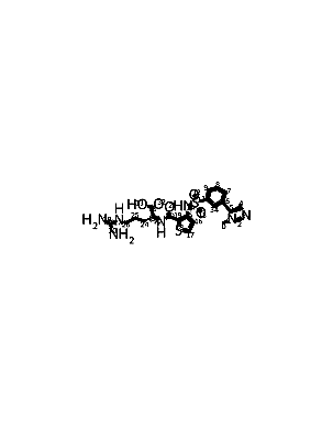 Cn1cncc1-c1cccc(S(=O)(=O)Nc2ccsc2C(=O)N[C@@H](CCCNC(N)N)C(=O)O)c1